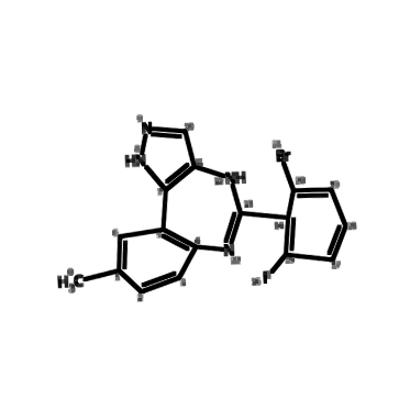 Cc1ccc2c(c1)-c1[nH]ncc1NC(c1c(F)cccc1Br)=N2